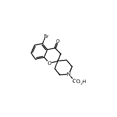 O=C1CC2(CCN(C(=O)O)CC2)Oc2cccc(Br)c21